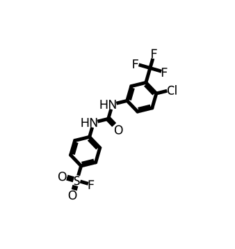 O=C(Nc1ccc(S(=O)(=O)F)cc1)Nc1ccc(Cl)c(C(F)(F)F)c1